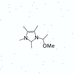 COC(C)N1C(C)=C(C)N(C)C1C